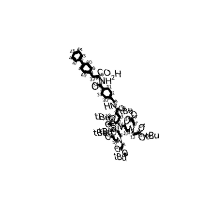 CC(C)(C)OC(=O)CN(CCN(CCN(CC(=O)OC(C)(C)C)CC(=O)OC(C)(C)C)C(CCC(=O)NCC1CCC(C(=O)N[C@@H](Cc2ccc(-c3ccccc3)cc2)C(=O)O)CC1)P(=O)(OC(C)(C)C)OC(C)(C)C)CC(=O)OC(C)(C)C